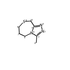 Cc1nnc2n1CCCSC2